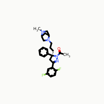 CC(=O)N1N=C(c2cc(F)ccc2F)C[C@@]1(CCCN1CC2CC1CN2C)c1ccccc1